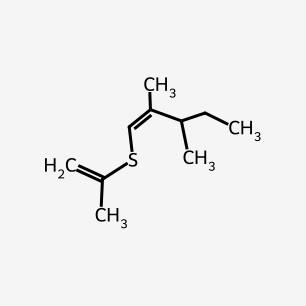 C=C(C)S/C=C(/C)C(C)CC